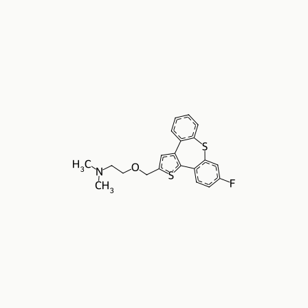 CN(C)CCOCc1cc2c(s1)-c1ccc(F)cc1Sc1ccccc1-2